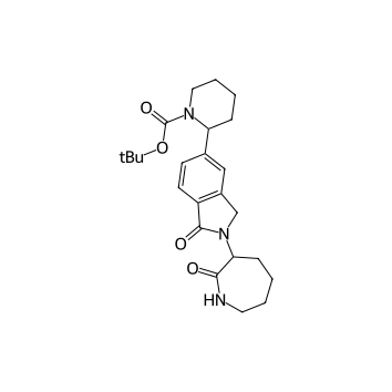 CC(C)(C)OC(=O)N1CCCCC1c1ccc2c(c1)CN(C1CCCCNC1=O)C2=O